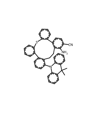 CC1(C)c2ccccc2N(c2cccc3c2CCc2c(ccc(C#N)c2N)-c2ccccc2Sc2ccccc2-3)c2ccccc21